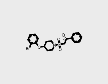 [O][C@@H](CS(=O)(=O)N1CCC(Oc2ccccc2Br)CC1)c1ccccc1